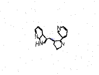 C1=CC2C(/C=C3\CCCN=C3c3cccnc3)=CNC2N=C1